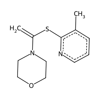 C=C(Sc1ncccc1C)N1CCOCC1